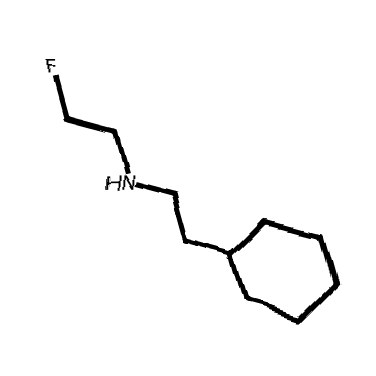 FCCNCCC1CCCCC1